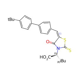 CC[C@@H](C)[C@@H](C(=O)O)N1C(=O)/C(=C\c2ccc(-c3ccc(C(C)(C)C)cc3)cc2)SC1=S